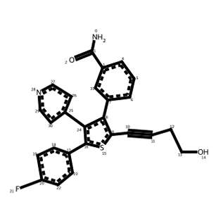 NC(=O)c1cccc(-c2c(C#CCCO)sc(-c3ccc(F)cc3)c2-c2ccncc2)c1